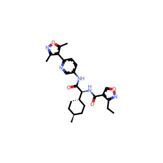 CCc1nocc1C(=O)N[C@H](C(=O)Nc1ccc(-c2c(C)noc2C)nc1)[C@H]1CC[C@H](C)CC1